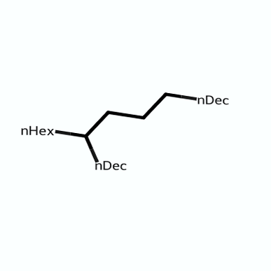 [CH2]CCCCCC(CCCCCCCCCC)CCCCCCCCCCCCC